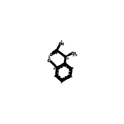 C[C@H](C(=O)O)c1ccccc1Cl